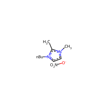 CCCC[n+]1ccn(C)c1C.O=[N+]([O-])[O-]